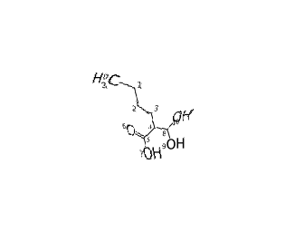 CCCCC(C(=O)O)C(O)O